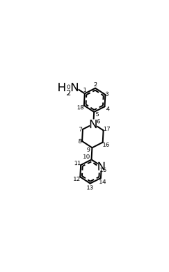 Nc1cccc(N2CCC(c3ccccn3)CC2)c1